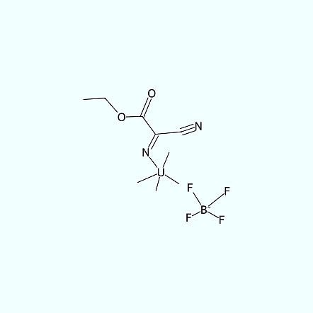 CCOC(=O)C(C#N)=[N][U]([CH3])([CH3])([CH3])[CH3].F[B-](F)(F)F